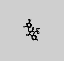 COC(=O)C1C(=O)N(Cc2ccc(Br)cc2F)C(=O)c2ccc(F)cc21